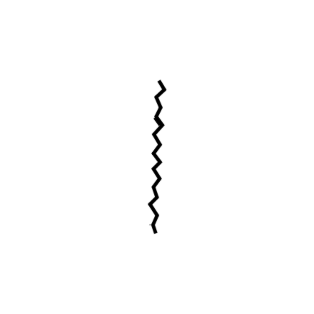 C[CH]CCCCCCCCCCC=CCCCC